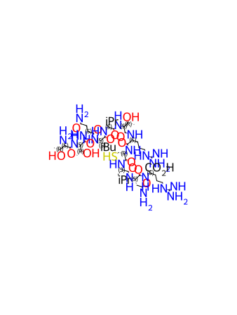 CC[C@H](C)[C@H](NC(=O)[C@H](CC(N)=O)NC(=O)[C@@H](NC(=O)[C@@H](N)[C@@H](C)O)[C@@H](C)O)C(=O)N[C@H](C(=O)N[C@H](C(=O)N[C@@H](CCCNC(=N)N)C(=O)N[C@@H](CS)C(=O)N[C@@H](CC(C)C)C(=O)N[C@@H](CC(N)=O)C(=O)N[C@@H](CCCNC(=N)N)C(=O)O)[C@@H](C)O)C(C)C